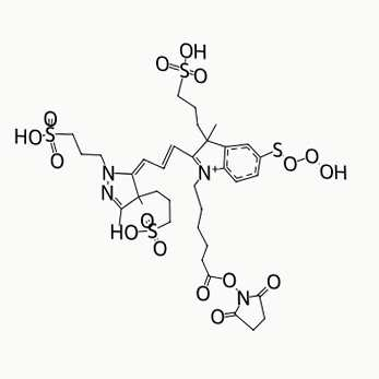 CC1=NN(CCCS(=O)(=O)O)/C(=C/C=C/C2=[N+](CCCCCC(=O)ON3C(=O)CCC3=O)c3ccc(SOOO)cc3C2(C)CCCS(=O)(=O)O)C1(C)CCCS(=O)(=O)O